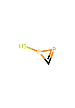 SP1C=P1